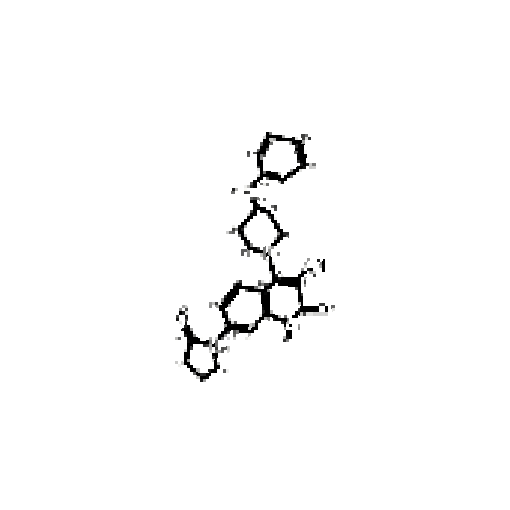 Cn1c(=O)c(C#N)c(N2CCC(Sc3ccccc3)CC2)c2ccc(N3CCCC3=O)cc21